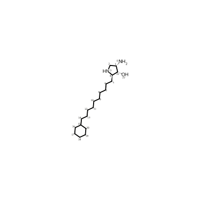 N[C@H]1CN[C@H](CCCCCCCCCCC2CCCCC2)[C@H]1O